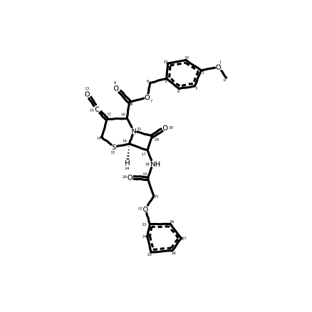 COc1ccc(COC(=O)C2C(=C=O)CS[C@@H]3C(NC(=O)COc4ccccc4)C(=O)N23)cc1